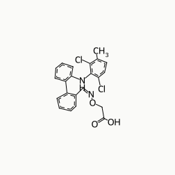 Cc1ccc(Cl)c(Nc2ccccc2-c2ccccc2C=NOCC(=O)O)c1Cl